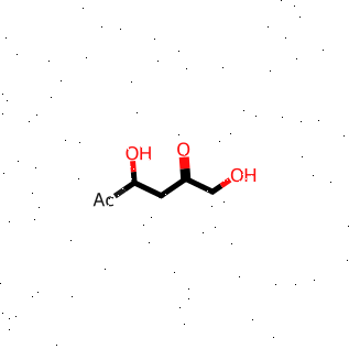 CC(=O)C(O)CC(=O)CO